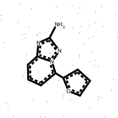 Nc1nc2cccc(-c3ccco3)n2n1